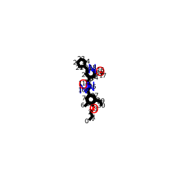 [CH2]CCOc1c(C)cc(-c2noc(-c3cc(OC)nc(C4CCCC4)c3)n2)cc1CC